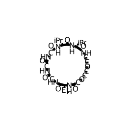 CC[C@@H]1NC(=O)COCCOCCNC(=O)[C@H](C(C)C)NC(=O)[C@H](C(C)C)NC(=O)CNC(=O)CNC(=O)CNC1=O